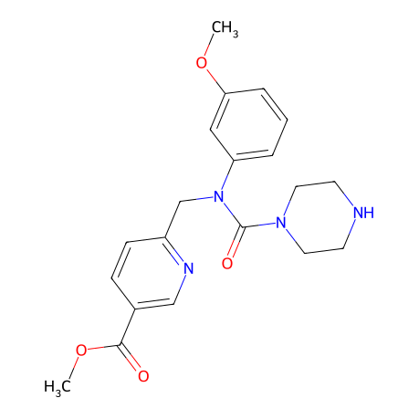 COC(=O)c1ccc(CN(C(=O)N2CCNCC2)c2cccc(OC)c2)nc1